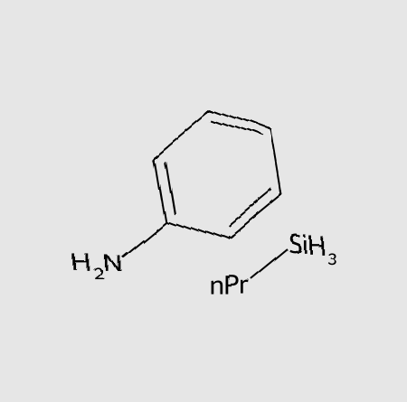 CCC[SiH3].Nc1ccccc1